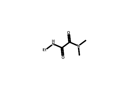 CCNC(=O)C(=O)N(C)C